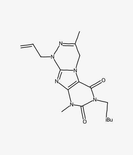 C=CCN1N=C(C)Cn2c1nc1c2c(=O)n(CC(C)CC)c(=O)n1C